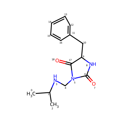 CC(C)NCN1C(=O)NC(Cc2ccccc2)C1=O